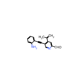 C=C(C)c1cc(C=O)ncc1C#Cc1ccccc1N